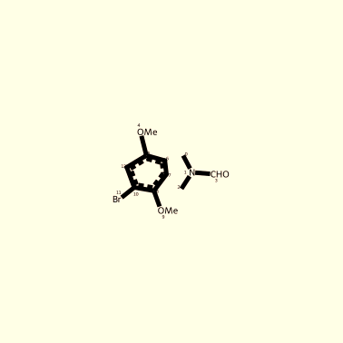 CN(C)C=O.COc1ccc(OC)c(Br)c1